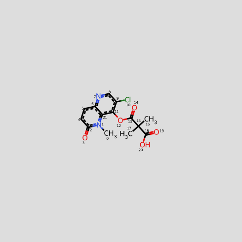 Cn1c(=O)ccc2ncc(Cl)c(OC(=O)C(C)(C)C(=O)O)c21